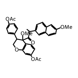 COc1ccc2cc(C(C)C(=O)C3(OC)c4ccc(OC(C)=O)cc4OCC3c3ccc(OC(C)=O)cc3)ccc2c1